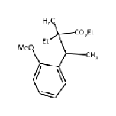 CCOC(=O)C(C)(CC)C(C)c1ccccc1OC